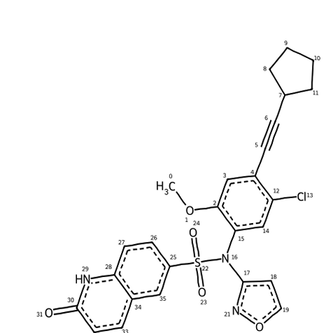 COc1cc(C#CC2CCCC2)c(Cl)cc1N(c1ccon1)S(=O)(=O)c1ccc2[nH]c(=O)ccc2c1